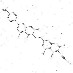 Cc1ccc(-c2cc(F)c3c(F)c(CCc4cc(F)c5c(F)c(C#CC(F)(F)F)c(F)cc5c4)c(F)cc3c2)cc1